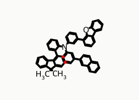 CC1(C)c2ccccc2-c2c(-c3ccccc3N(c3cccc(-c4ccc5ccccc5c4)c3)c3cccc(-c4cccc5c4oc4ccccc45)c3)cccc21